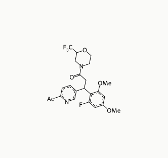 COc1cc(F)c(C(CC(=O)N2CCOC(C(F)(F)F)C2)c2ccc(C(C)=O)nc2)c(OC)c1